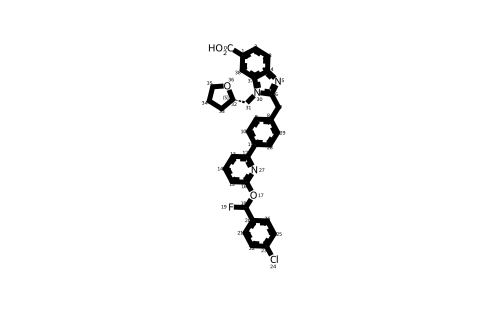 O=C(O)c1ccc2nc(Cc3ccc(-c4cccc(OC(F)c5ccc(Cl)cc5)n4)cc3)n(C[C@@H]3CCCO3)c2c1